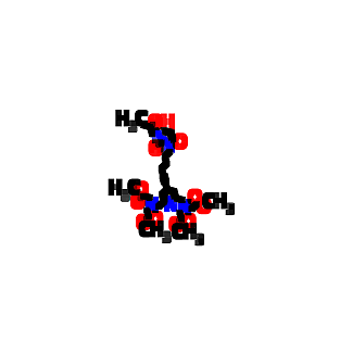 CCC(O)Cn1ccc(=O)n(CCCCC#Cc2cc(CN(CC(=O)OC)CC(=O)OC)nc(CN(CC(=O)OC)CC(=O)OC)c2)c1=O